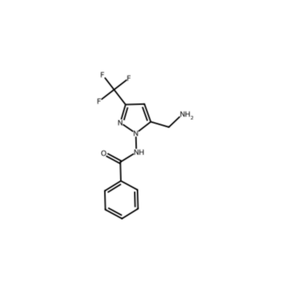 NCc1cc(C(F)(F)F)nn1NC(=O)c1ccccc1